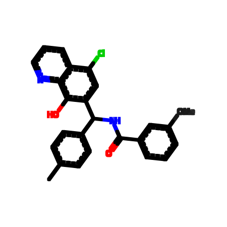 COc1cccc(C(=O)NC(c2ccc(C)cc2)c2cc(Cl)c3cccnc3c2O)c1